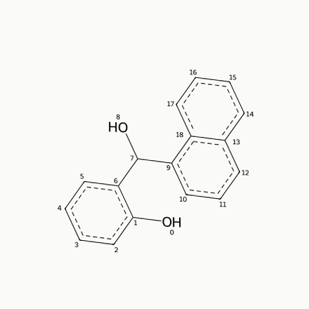 Oc1ccccc1C(O)c1cccc2ccccc12